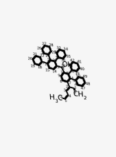 C=C/C(=C\C=C/C)c1ccc(C(O)c2ccc(-c3ccccc3)c(-c3ccccc3)c2-c2ccccc2)c(-c2ccccc2)c1-c1ccccc1